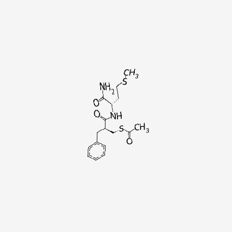 CSCC[C@H](NC(=O)[C@@H](CSC(C)=O)Cc1ccccc1)C(N)=O